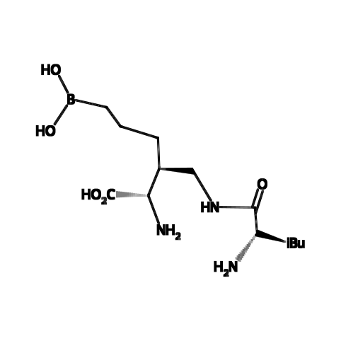 CC[C@H](C)[C@H](N)C(=O)NC[C@H](CCCB(O)O)[C@H](N)C(=O)O